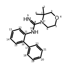 CC1(C)COCCN1C(=N)Nc1ccccc1-c1ccccc1